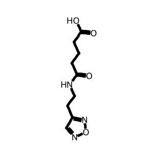 O=C(O)CCCC(=O)NCCc1cnon1